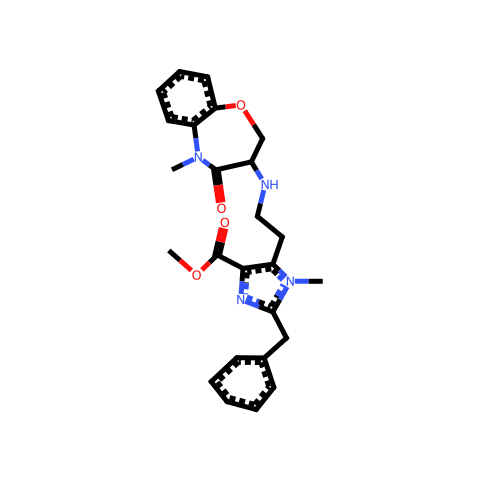 COC(=O)c1nc(Cc2ccccc2)n(C)c1CCNC1COc2ccccc2N(C)C1=O